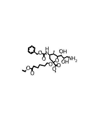 CCOC(=O)CCCCCO[C@]1(C(=O)OC)C[C@@H](NC(=O)OCc2ccccc2)[C@@H](C)C([C@H](O)[C@H](O)CN)O1